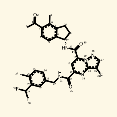 CC(=O)c1ccc2c(c1C)CC[C@@H]2NC(=O)c1cc(C(=O)NCc2ccc(F)c(C(F)F)c2)nc2c(F)cnn12